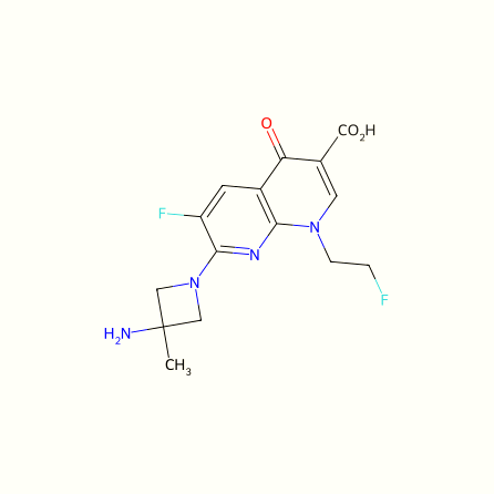 CC1(N)CN(c2nc3c(cc2F)c(=O)c(C(=O)O)cn3CCF)C1